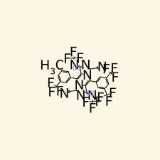 Cc1cc(-c2c3/c(=N/C(F)(F)F)nc(C#N)n3c(-c3cc(C(F)(F)F)cc(C(F)(F)F)c3)c3/c(=N/C(F)(F)F)nc(C#N)n23)cc(C(F)(F)F)c1